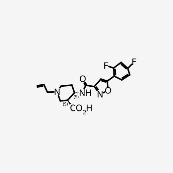 C=CCN1CC[C@H](NC(=O)c2cc(-c3ccc(F)cc3F)on2)[C@@H](C(=O)O)C1